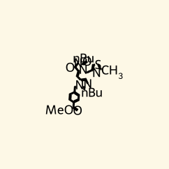 CCCCc1ncc(/C=C2/C(=O)N(CCCC)C(=O)N2Cc2csc(C)n2)n1Cc1ccc(C(=O)OC)cc1